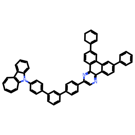 C1=CC=Cc2c(n(-c3ccc(-c4cccc(-c5ccc(-c6cnc7c8ccc(-c9ccccc9)cc8c8cc(C9=CC=CCC9)ccc8c7n6)cc5)c4)cc3)c3ccccc23)C=1